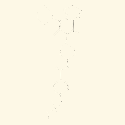 O=C(NC1CCC(n2c(=O)c3cc(F)cnc3n(C3CCSCC3)c2=O)CC1)c1ccc(OC(F)(F)C(F)F)cc1